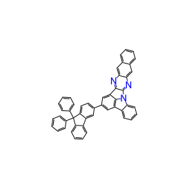 c1ccc(C2(c3ccccc3)c3ccccc3-c3cc(-c4cc5c6ccccc6n6c7nc8cc9ccccc9cc8nc7c(c4)c56)ccc32)cc1